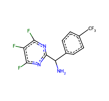 NC(c1ccc(C(F)(F)F)cc1)c1nc(F)c(F)c(F)n1